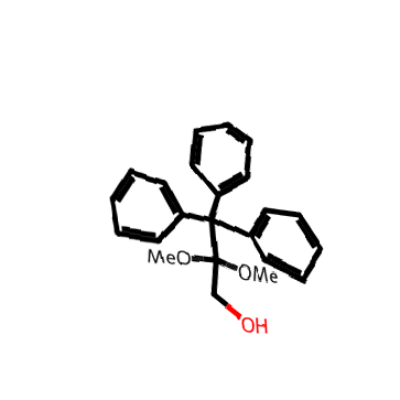 COC(CO)(OC)C(c1ccccc1)(c1ccccc1)c1ccccc1